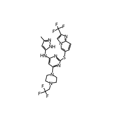 Cc1cc(Nc2cc(N3CCN(CC(F)(F)F)CC3)nc(Sc3ccc4nc(C(F)(F)F)cn4c3)n2)[nH]n1